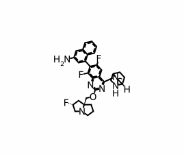 Nc1cc(-c2c(F)cc3c(N4C[C@@H]5CCC4CN5)nc(OC[C@@]45CCCN4C[C@H](F)C5)nc3c2F)c2ccccc2c1